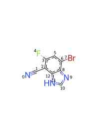 N#Cc1c(F)cc(Br)c2nc[nH]c12